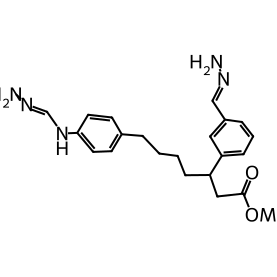 COC(=O)CC(CCCCc1ccc(NC=NN)cc1)c1cccc(C=NN)c1